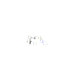 C[C@@H]1C[C@H]2[C@@H]3CCC4=CCC=C[C@]4(C)[C@@]3(F)CC[C@]2(C)[C@H]1CCSc1nc2ccccc2s1